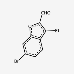 CCc1c(C=O)oc2cc(Br)ccc12